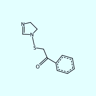 O=C(CSN1C=NCC1)c1ccccc1